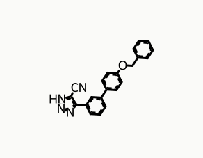 N#Cc1[nH]nnc1-c1cccc(-c2ccc(OCc3ccccc3)cc2)c1